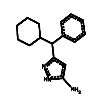 Nc1cc(C(c2ccccc2)C2CCCCC2)n[nH]1